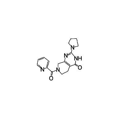 O=C(c1ccccn1)N1CCc2c(nc(N3CCCC3)[nH]c2=O)C1